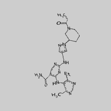 C=CC(=O)N1CCCC(n2cc(Nc3ncc(C(N)=O)c(Nc4c(C)ncnc4CC)n3)cn2)C1